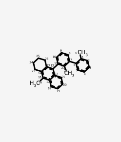 Cc1ccccc1-c1cccc(-c2c3c(c(C)c4ccccc24)CCCC3)c1C